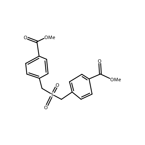 COC(=O)c1ccc(CS(=O)(=O)Cc2ccc(C(=O)OC)cc2)cc1